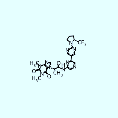 CC(C(=O)Nc1cncc(-c2cnc(N3CCC[C@H]3C(F)(F)F)nc2)n1)n1cnc2c1c(=O)n(C)c(=O)n2C